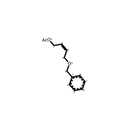 CC(=O)OC/C=C\COCc1ccccc1